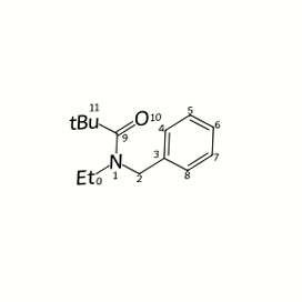 CCN(Cc1ccccc1)C(=O)C(C)(C)C